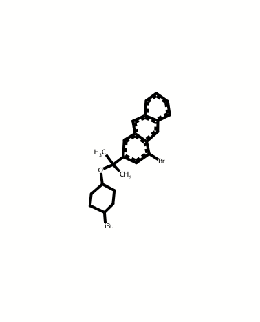 CCC(C)C1CCC(OC(C)(C)c2cc(Br)c3cc4ccccc4cc3c2)CC1